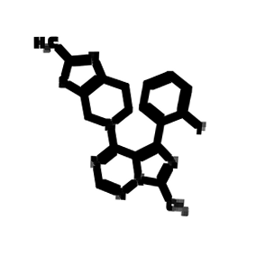 Cc1nc2c(s1)CN(c1ncnn3c(C)nc(-c4ccccc4F)c13)CC2